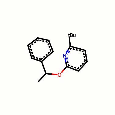 CC(Oc1cccc(C(C)(C)C)n1)c1ccccc1